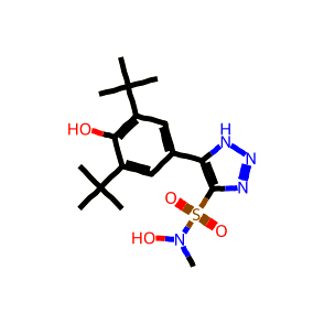 CN(O)S(=O)(=O)c1nn[nH]c1-c1cc(C(C)(C)C)c(O)c(C(C)(C)C)c1